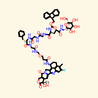 CC[C@@]1(O)C(=O)OCc2c1cc1n(c2=O)Cc2c-1nc1cc(F)c(C)c3c1c2[C@@H](NC(=O)CCOCNC(=O)CNC(=O)[C@H](Cc1ccccc1)NC(=O)CNC(=O)CNC(=O)[C@H](CCC(=O)NC[C@@H]1O[C@H](CO)[C@@H](O)[C@H](O)[C@H]1O)NC(=O)OCC1c2ccccc2-c2ccccc21)CC3